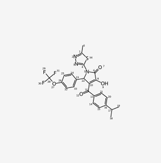 Cc1nnc(N2C(=O)C(O)=C(C(=O)c3ccc(C(C)C)cc3)C2c2ccc(OC(F)(F)F)cc2)s1